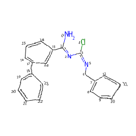 N/C(=N\C(Cl)=N/Cc1ccccc1)c1cccc(-c2ccccc2)c1